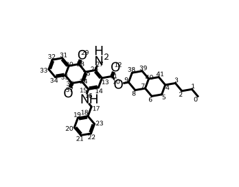 CCCCC1CCC2CC(OC(=O)c3cc(NCc4ccccc4)c4c(c3N)C(=O)c3ccccc3C4=O)CCC2C1